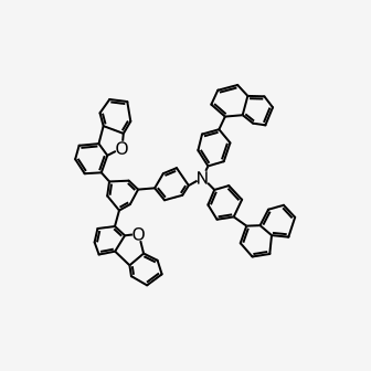 c1ccc2c(-c3ccc(N(c4ccc(-c5cc(-c6cccc7c6oc6ccccc67)cc(-c6cccc7c6oc6ccccc67)c5)cc4)c4ccc(-c5cccc6ccccc56)cc4)cc3)cccc2c1